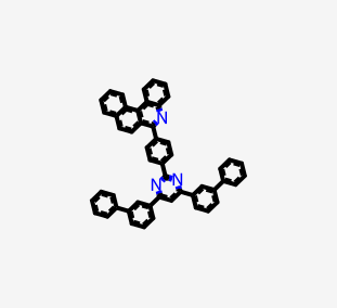 c1ccc(-c2cccc(-c3cc(-c4cccc(-c5ccccc5)c4)nc(-c4ccc(-c5nc6ccccc6c6c5ccc5ccccc56)cc4)n3)c2)cc1